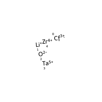 [Cf+3].[Li+].[O-2].[Ta+5].[Zr+4]